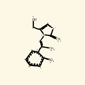 C=C1SC=C(CO)N1/C=C(\C)c1ccccc1[N+](=O)[O-]